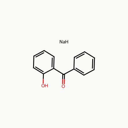 O=C(c1ccccc1)c1ccccc1O.[NaH]